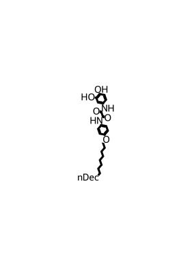 CCCCCCCCCCCCCCCCCCOc1ccc(NC(=O)C(=O)Nc2ccc(O)c(O)c2)cc1